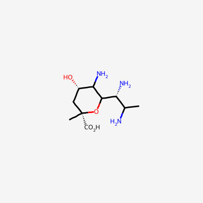 CC(N)[C@@H](N)C1O[C@](C)(C(=O)O)C[C@H](O)C1N